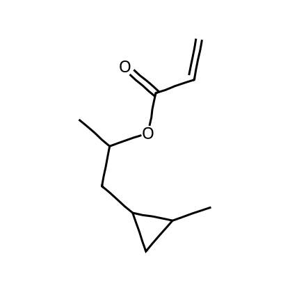 C=CC(=O)OC(C)CC1CC1C